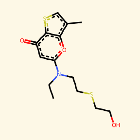 CCN(CCSCCO)c1cc(=O)c2scc(C)c2o1